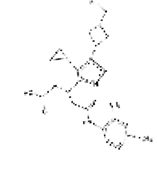 Cc1ccc(NC(=O)CC(CC(O)O)c2nnn(C3CC(CC(C)C)C3)c2C2CC2)c(C)c1